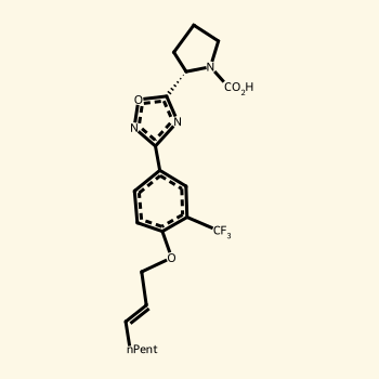 CCCCC/C=C/COc1ccc(-c2noc([C@@H]3CCCN3C(=O)O)n2)cc1C(F)(F)F